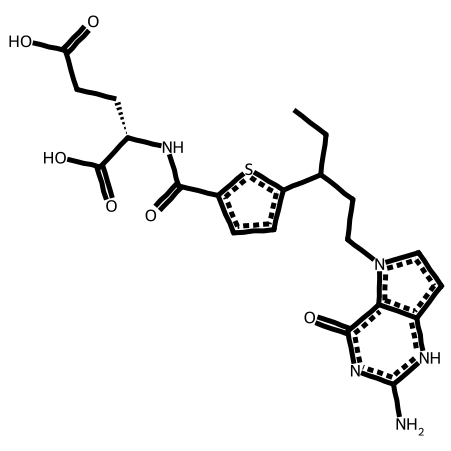 CCC(CCn1ccc2[nH]c(N)nc(=O)c21)c1ccc(C(=O)N[C@@H](CCC(=O)O)C(=O)O)s1